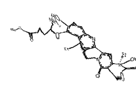 CCc1c2c(nc3ccc(O)c(OC(N)CCC(=O)OC(C)(C)C)c13)-c1cc3c(c(=O)n1C2)COC(=O)[C@@]3(O)CC